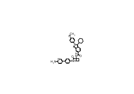 COc1ccc(-n2nc3cc(C(=O)NC4(C(=O)Nc5ccc(-c6ccc(N)nc6)cc5)CCC4)ccc3c2C2CCCCC2)cc1